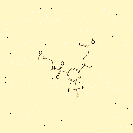 COC(=O)CCC(C)c1cc(C(F)(F)F)cc(S(=O)(=O)N(C)CC2CO2)c1